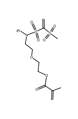 C=C(C)C(=O)OCCOCCN(C(C)C)S(=O)(=O)C(=C)S(C)(=O)=O